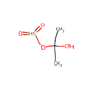 CC(C)(O)O[SH](=O)=O